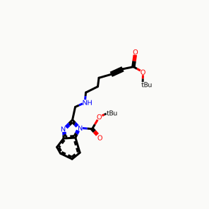 CC(C)(C)OC(=O)C#CCCCNCc1nc2ccccc2n1C(=O)OC(C)(C)C